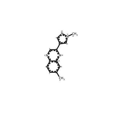 Cc1ccc2ncc(-c3cnn(C)c3)nc2c1